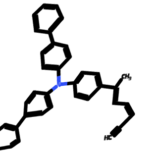 C#C/C=C\C=C(/C)c1ccc(N(c2ccc(-c3ccccc3)cc2)c2ccc(-c3ccccc3)cc2)cc1